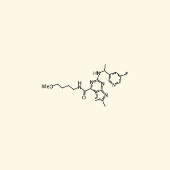 COCCCCNC(=O)c1nc(NC(C)c2cncc(F)c2)nc2nc(C)sc12